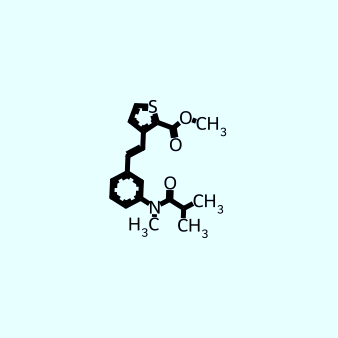 COC(=O)c1sccc1C=Cc1cccc(N(C)C(=O)C(C)C)c1